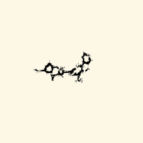 COc1ccc(Cn2nc(-c3nc(N)c(OC)c(-c4ccncc4)n3)cc2C2CC2)cc1